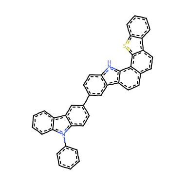 c1ccc(-n2c3ccccc3c3cc(-c4ccc5[nH]c6c(ccc7ccc8c9ccccc9sc8c76)c5c4)ccc32)cc1